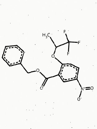 CC(Oc1ccc([N+](=O)[O-])cc1C(=O)OCc1ccccc1)C(F)(F)F